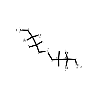 CCC(CC)(CN)C(C)(C)COCC(C)(C)C(CC)(CC)CN